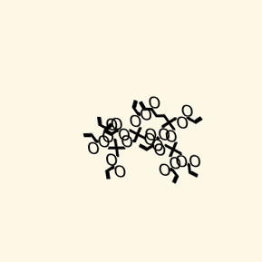 C=CC(=O)CCC(COCC(COC(=O)C=C)(COC(=O)C=C)COC(=O)C=C)(COC(=O)C=C)COC(=O)OCC(COCC(COC(=O)C=C)(COC(=O)C=C)COC(=O)C=C)(COC(=O)C=C)COC(=O)C=C